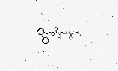 CC(=O)OCCNC(=O)OCC1c2ccccc2-c2ccccc21